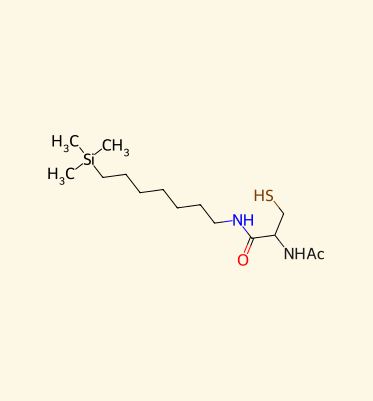 CC(=O)NC(CS)C(=O)NCCCCCCC[Si](C)(C)C